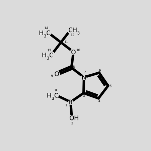 CB(O)c1cccn1C(=O)OC(C)(C)C